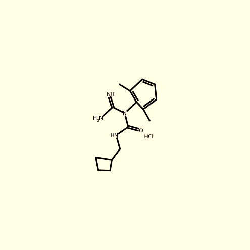 Cc1cccc(C)c1N(C(=N)N)C(=O)NCC1CCC1.Cl